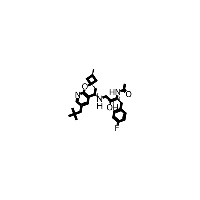 CC(=O)N[C@@H](Cc1ccc(F)cc1)[C@H](O)CN[C@H]1C[C@]2(C[C@H](C)C2)Oc2ncc(CC(C)(C)C)cc21